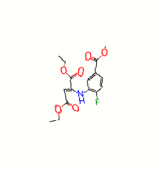 CCOC(=O)/C=C(\Nc1cc(C(=O)OC)ccc1F)C(=O)OCC